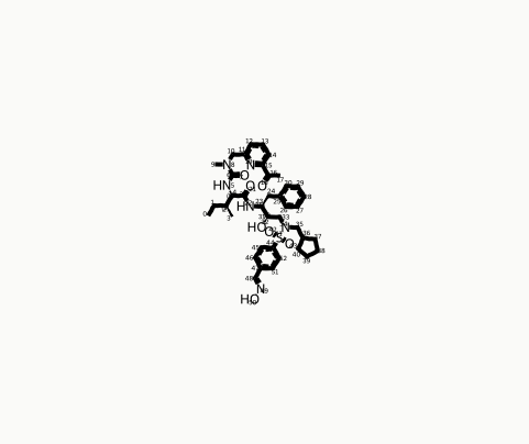 CC[C@H](C)[C@H](NC(=O)N(C)Cc1cccc(C(C)=O)n1)C(=O)N[C@@H](Cc1ccccc1)[C@@H](O)CN(CC1CCCC1)S(=O)(=O)c1ccc(C=NO)cc1